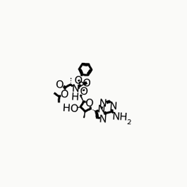 CC(C)OC(=O)[C@H](C)NP(=O)(OC[C@H]1O[C@H](c2cnc3c(N)ncnn23)[C@@H](C)[C@@H]1O)Oc1ccccc1